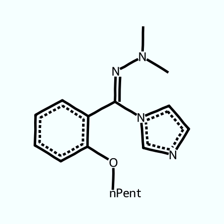 CCCCCOc1ccccc1/C(=N/N(C)C)n1ccnc1